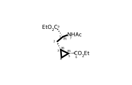 CCOC(=O)[C@@H](C[C@H]1C[C@H]1C(=O)OCC)NC(C)=O